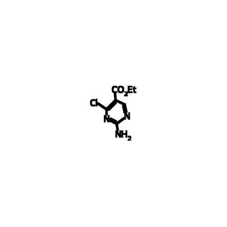 CCOC(=O)c1cnc(N)nc1Cl